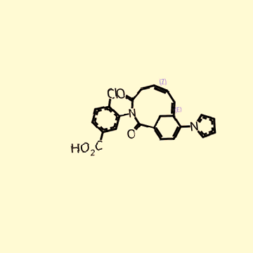 O=C(O)c1ccc(Cl)c(N2C(=O)C/C=C\C=C3/CC(=CC=C3n3cccc3)C2=O)c1